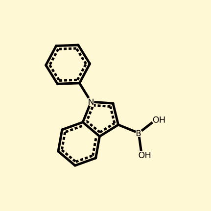 OB(O)c1cn(-c2ccccc2)c2ccccc12